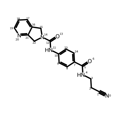 N#CCCNC(=O)c1ccc(NC(=O)N2Cc3cccnc3C2)cc1